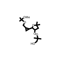 COC(C)(C)OCC1CC1C1OC(C)(C)CC1OOC(C)(C)CO